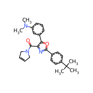 CN(C)c1cccc(-c2oc(-c3ccc(C(C)(C)C)cc3)nc2C(=O)N2CC=CC2)c1